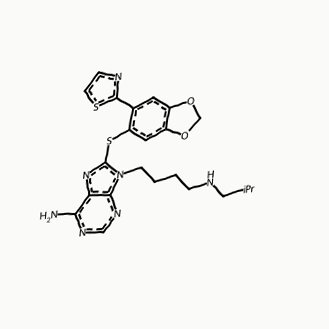 CC(C)CNCCCCn1c(Sc2cc3c(cc2-c2nccs2)OCO3)nc2c(N)ncnc21